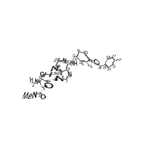 CNC(=O)[C@H]1O[C@@H](n2cnc3c(NCc4ccc(OCc5ccccc5)cc4)ncnc32)[C@H](O)[C@@H]1N